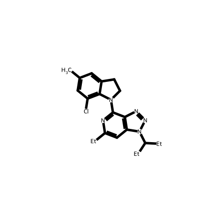 CCc1cc2c(nnn2C(CC)CC)c(N2CCc3cc(C)cc(Cl)c32)n1